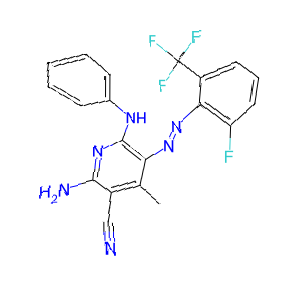 Cc1c(C#N)c(N)nc(Nc2ccccc2)c1/N=N/c1c(F)cccc1C(F)(F)F